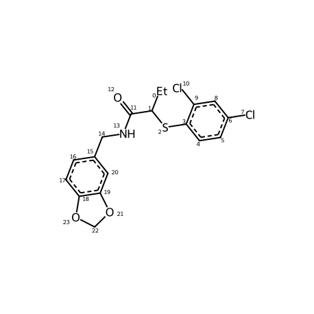 CCC(Sc1ccc(Cl)cc1Cl)C(=O)NCc1ccc2c(c1)OCO2